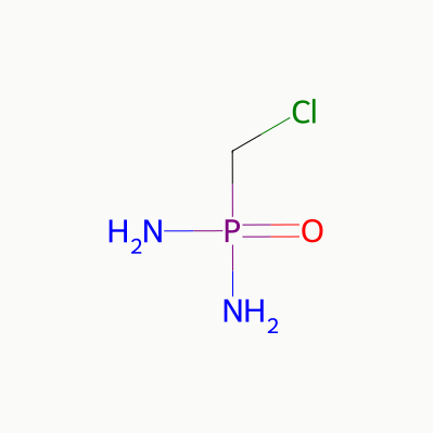 NP(N)(=O)CCl